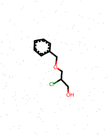 OCC(Cl)COCc1ccccc1